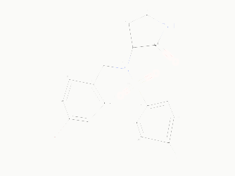 O=C1NCCC1N(Cc1ccc(Br)cc1)S(=O)(=O)c1ccc(Cl)cc1